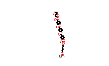 CCC(=O)OCCCCCCOC(=O)Oc1ccc(C(=O)Oc2ccc(C(=O)Oc3ccc(C(=O)O[C@@H]4CC5OC[C@H](C)C5O4)cc3)cc2)cc1